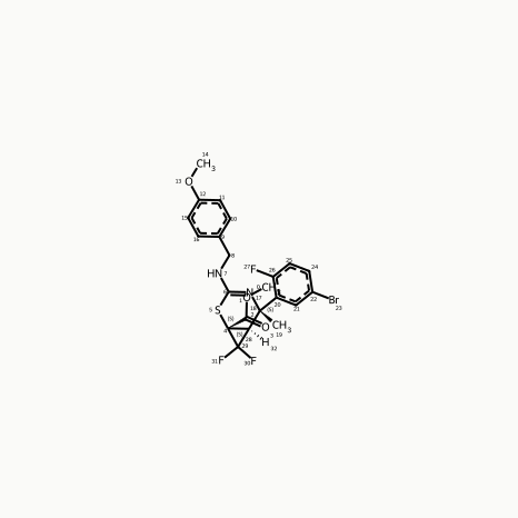 COC(=O)[C@@]12SC(NCc3ccc(OC)cc3)=N[C@](C)(c3cc(Br)ccc3F)[C@H]1C2(F)F